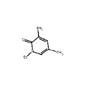 Bc1cc(C)cn(CC)c1=O